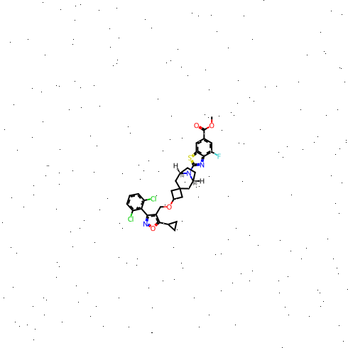 COC(=O)c1cc(F)c2nc(N3[C@@H]4CC[C@H]3CC3(CC(OCc5c(-c6c(Cl)cccc6Cl)noc5C5CC5)C3)C4)sc2c1